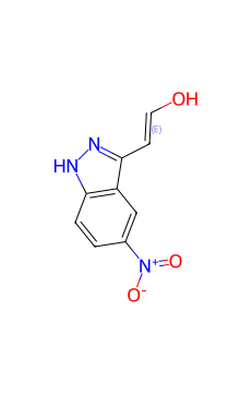 O=[N+]([O-])c1ccc2[nH]nc(/C=C/O)c2c1